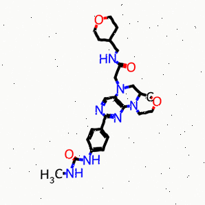 CNC(=O)Nc1ccc(-c2ncc3c(n2)N2CCOCC2CN3CC(=O)NCC2CCOCC2)cc1